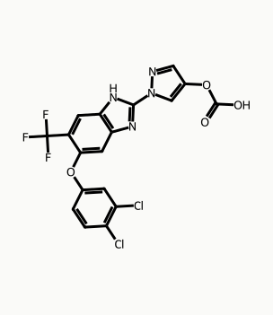 O=C(O)Oc1cnn(-c2nc3cc(Oc4ccc(Cl)c(Cl)c4)c(C(F)(F)F)cc3[nH]2)c1